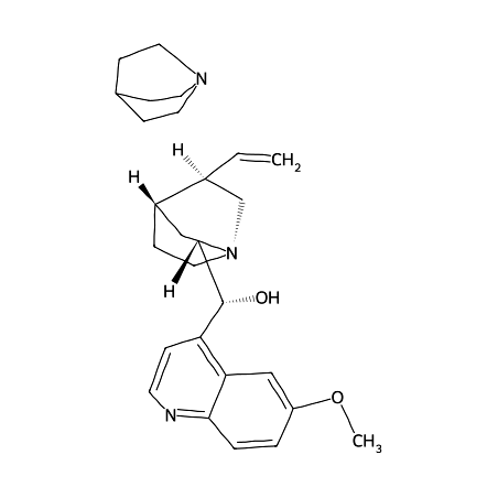 C1CN2CCC1CC2.C=C[C@H]1C[N@]2CC[C@H]1C[C@H]2[C@H](O)c1ccnc2ccc(OC)cc12